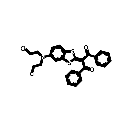 O=C(C(C(=O)c1ccccc1)=C1Sc2ccc(N(CCCl)CCCl)cc2S1)c1ccccc1